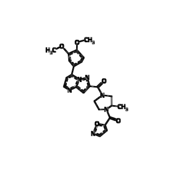 COc1ccc(-c2ccnc3cc(C(=O)N4CCN(C(=O)c5ccno5)C(C)C4)nn23)cc1OC